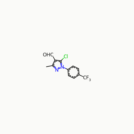 Cc1nn(-c2ccc(C(F)(F)F)cc2)c(Cl)c1C=O